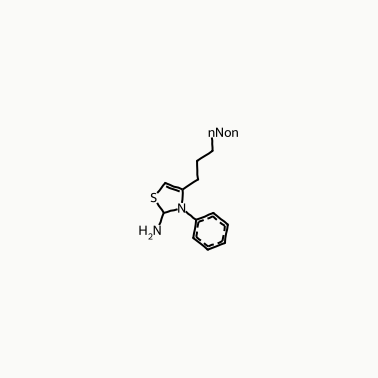 CCCCCCCCCCCCC1=CSC(N)N1c1ccccc1